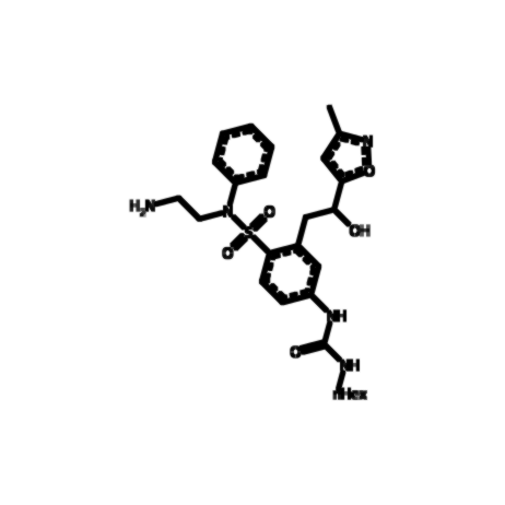 CCCCCCNC(=O)Nc1ccc(S(=O)(=O)N(CCN)c2ccccc2)c(CC(O)c2cc(C)no2)c1